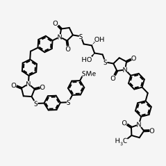 CSc1ccc(Sc2ccc(SC3CC(=O)N(c4ccc(Cc5ccc(N6C(=O)CC(SC[C@H](O)[C@H](O)CSC7CC(=O)N(c8ccc(Cc9ccc(N%10C(=O)CC(C)C%10=O)cc9)cc8)C7=O)C6=O)cc5)cc4)C3=O)cc2)cc1